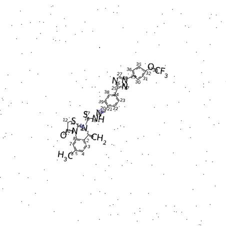 C=Cc1ccc(C)cc1N1C(=O)CS/C1=N\C(=S)N/N=C/c1ccc(-c2ncn(-c3ccc(OC(F)(F)F)cc3)n2)cc1